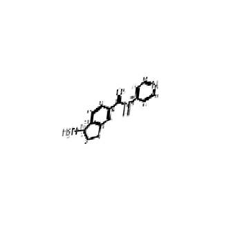 N[C@@H]1CCc2cc(C(=O)Nc3ccncc3)ccc21